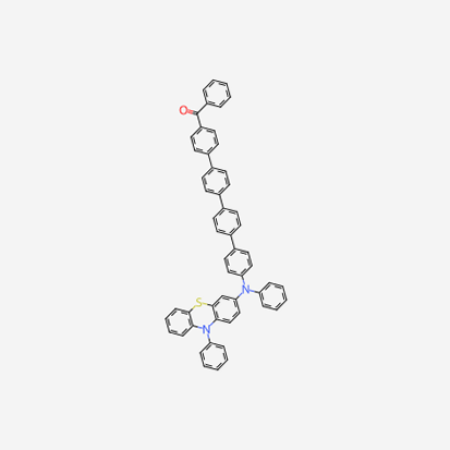 O=C(c1ccccc1)c1ccc(-c2ccc(-c3ccc(-c4ccc(N(c5ccccc5)c5ccc6c(c5)Sc5ccccc5N6c5ccccc5)cc4)cc3)cc2)cc1